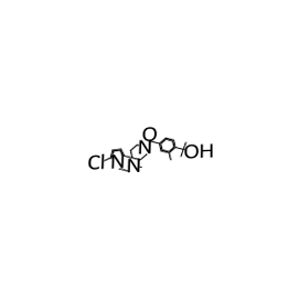 Cc1cc(C(=O)N2CCC3(CC2)c2ccc(Cl)n2CCN3C)ccc1C(C)(C)O